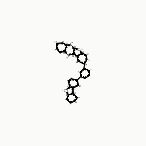 c1cc(-c2ccc3oc4ccccc4c3c2)cc(-c2ccc3oc4nc5ccccc5nc4c3c2)c1